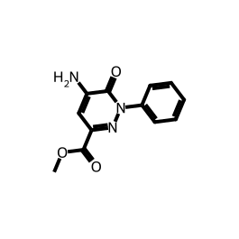 COC(=O)c1cc(N)c(=O)n(-c2ccccc2)n1